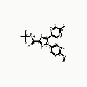 COc1ccc(-n2nc(C(=O)NC(C)(C)C)nc2-c2cnc(C)cn2)cn1